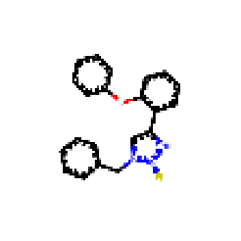 S=[n+]1[nH]c(-c2ccccc2Oc2ccccc2)cn1Cc1ccccc1